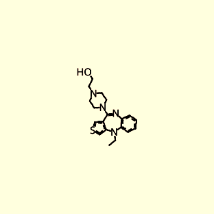 CCN1c2ccccc2N=C(N2CCN(CCO)CC2)c2cscc21